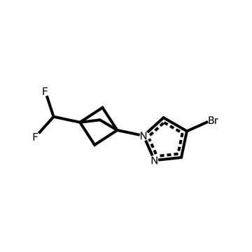 FC(F)C12CC(n3cc(Br)cn3)(C1)C2